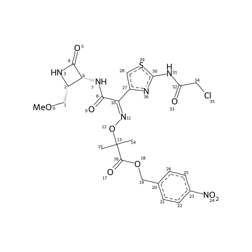 COC[C@@H]1NC(=O)[C@@H]1NC(=O)/C(=N\OC(C)(C)C(=O)OCc1ccc([N+](=O)[O-])cc1)c1csc(NC(=O)CCl)n1